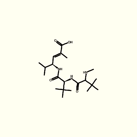 CNC(C(=O)N[C@H](C(=O)N[C@H](/C=C(\C)C(=O)O)C(C)C)C(C)(C)C)C(C)(C)C